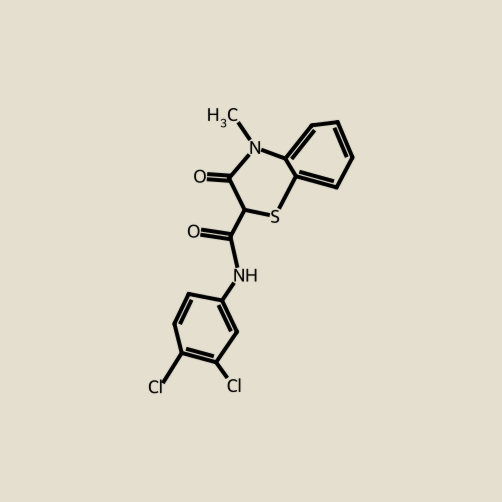 CN1C(=O)C(C(=O)Nc2ccc(Cl)c(Cl)c2)Sc2ccccc21